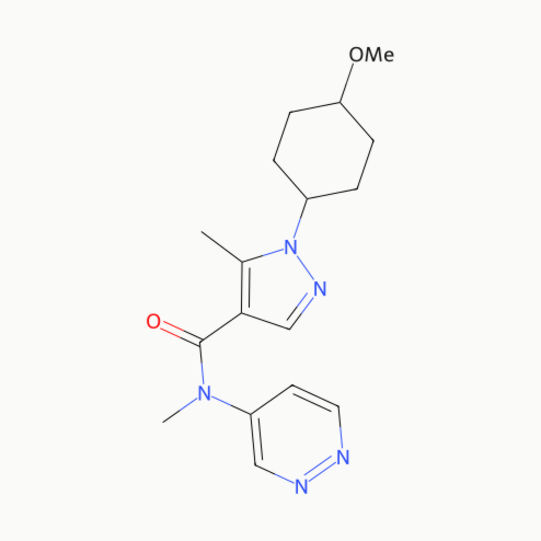 COC1CCC(n2ncc(C(=O)N(C)c3ccnnc3)c2C)CC1